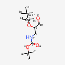 CC(C)(C)OC(=O)NCC(C=O)O[Si](C)(C)C(C)(C)C